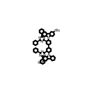 CC(C)(C)c1ccc2c(c1)c1ccccc1n2-c1ccc(-c2ccc(-n3c4ccccc4c4cc(C(C)(C)C)ccc43)c(-c3nc(-c4ccccc4)nc(-c4ccccc4)n3)c2)cc1-c1nc(-c2ccccc2)nc(-c2ccccc2)n1